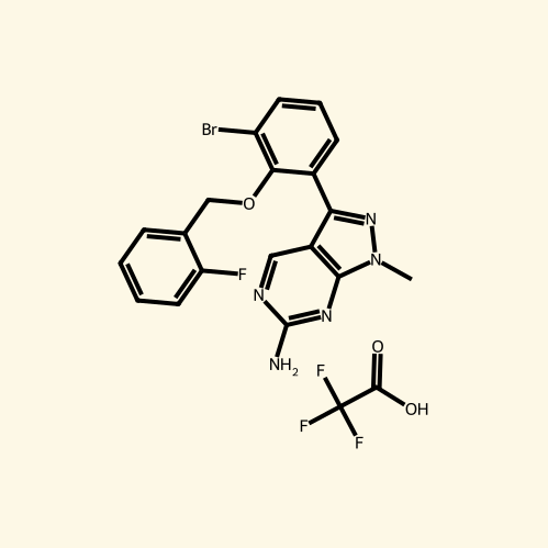 Cn1nc(-c2cccc(Br)c2OCc2ccccc2F)c2cnc(N)nc21.O=C(O)C(F)(F)F